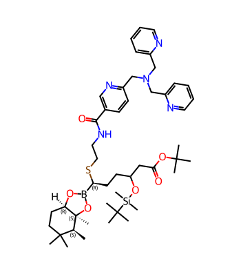 C[C@H]1C(C)(C)CC[C@H]2OB([C@H](CCC(CC(=O)OC(C)(C)C)O[Si](C)(C)C(C)(C)C)SCCNC(=O)c3ccc(CN(Cc4ccccn4)Cc4ccccn4)nc3)O[C@]21C